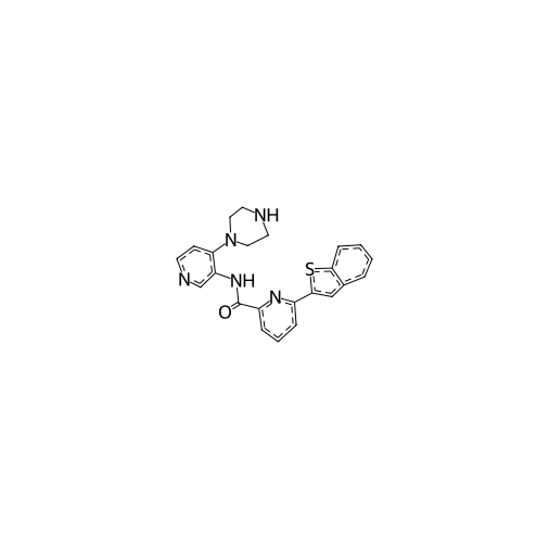 O=C(Nc1cnccc1N1CCNCC1)c1cccc(-c2cc3ccccc3s2)n1